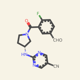 N#Cc1cnc(N[C@@H]2CCN(C(=O)c3cc(C=O)ccc3F)C2)nc1